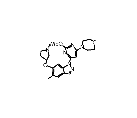 COc1nc(N2CCOCC2)cc(-n2ncc3cc(C)c(OC4CCN(C)C4)cc32)n1